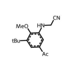 COc1c(NCC#N)cc(C(C)=O)cc1C(C)(C)C